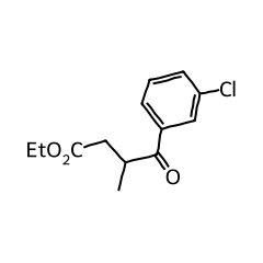 CCOC(=O)CC(C)C(=O)c1cccc(Cl)c1